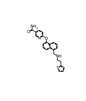 NC(=O)c1ccc(Oc2cccc3c(CNCCc4cccs4)cccc23)nc1